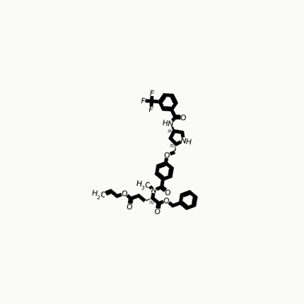 C=CCOC(=O)CC[C@@H](C(=O)OCc1ccccc1)N(C)C(=O)c1ccc(OC[C@@H]2C[C@@H](NC(=O)c3cccc(C(F)(F)F)c3)CN2)cc1